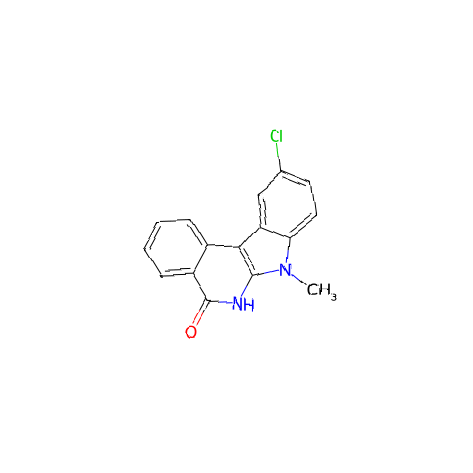 Cn1c2ccc(Cl)cc2c2c3ccccc3c(=O)[nH]c21